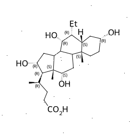 CC[C@H]1[C@@H](O)C2C3C[C@@H](O)[C@H]([C@H](C)CCC(=O)O)[C@@]3(C)[C@@H](O)CC2[C@@]2(C)CC[C@@H](O)C[C@@H]12